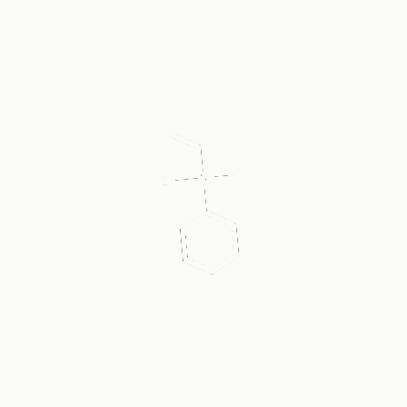 C=C[N+](CC)(CC)c1ccccc1